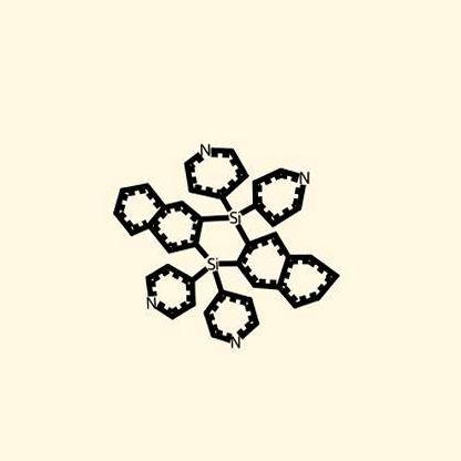 c1ccc2cc3c(cc2c1)[Si](c1ccncc1)(c1ccncc1)c1cc2ccccc2cc1[Si]3(c1ccncc1)c1ccncc1